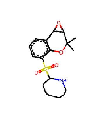 CC1(C)Oc2c(cccc2S(=O)(=O)C2CCCCN2)C2OC21